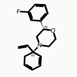 C=C[C@]1(N2CCO[C@@H](c3cccc(F)c3)C2)C=CC=CC1